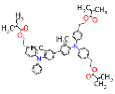 C=C(C)C(=O)OCCc1ccc(N(c2ccccc2)c2ccc(-c3ccc(N(c4ccc(CCOC(=O)C(=C)C)cc4)c4ccc(CCOC(=O)C(=C)C)cc4)c(C)c3)cc2C)cc1